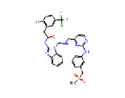 CS(=O)(=O)Cc1cccc(Nc2nccc(CNCn3c(NC(=O)Cc4cc(C(F)(F)F)ccc4F)nc4ccccc43)n2)c1